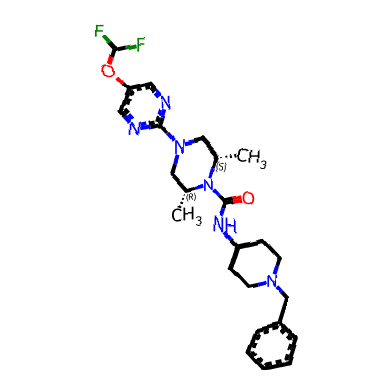 C[C@@H]1CN(c2ncc(OC(F)F)cn2)C[C@H](C)N1C(=O)NC1CCN(Cc2ccccc2)CC1